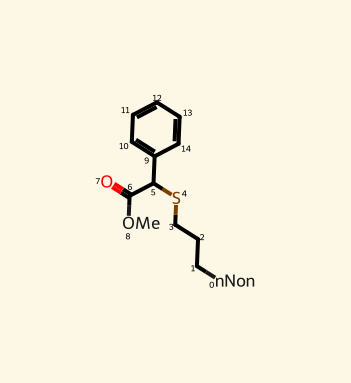 CCCCCCCCCCCCSC(C(=O)OC)c1ccccc1